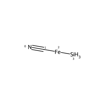 N#[C][Fe][SiH3]